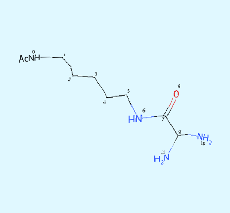 CC(=O)NCCCCCNC(=O)C(N)N